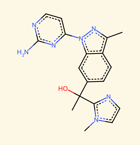 Cc1nn(-c2ccnc(N)n2)c2cc(C(C)(O)c3nccn3C)ccc12